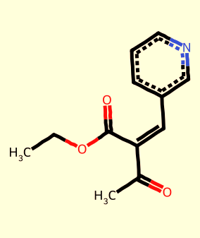 CCOC(=O)C(=Cc1cccnc1)C(C)=O